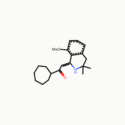 COc1cccc2c1C(=CC(=O)C1CCCCCC1)NC(C)(C)C2